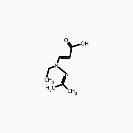 CCN(/C=C/C(=O)O)N=C(C)C